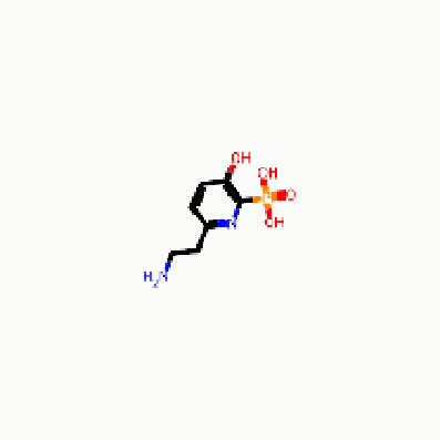 NCCc1ccc(O)c(P(=O)(O)O)n1